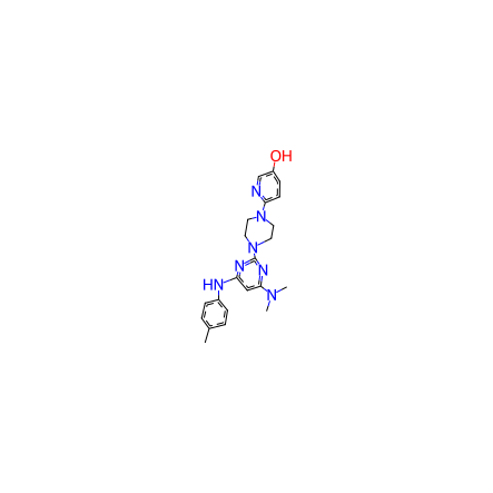 Cc1ccc(Nc2cc(N(C)C)nc(N3CCN(c4ccc(O)cn4)CC3)n2)cc1